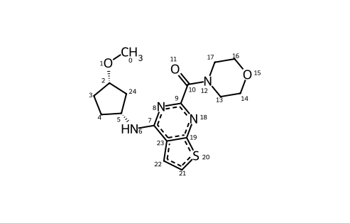 CO[C@H]1CC[C@@H](Nc2nc(C(=O)N3CCOCC3)nc3sccc23)C1